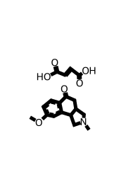 COc1ccc2c(c1)C1CN(C)CC1CC2=O.O=C(O)C=CC(=O)O